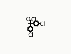 CC(C(=O)Cl)(c1ccc(Cl)cc1)c1ccc(Cl)cc1